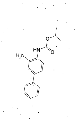 CC(C)OC(=O)Nc1ccc(-c2ccccc2)cc1N